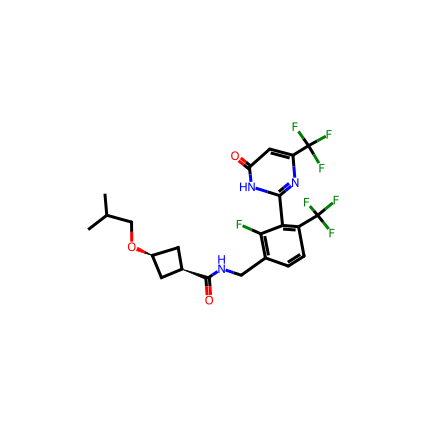 CC(C)CO[C@H]1C[C@@H](C(=O)NCc2ccc(C(F)(F)F)c(-c3nc(C(F)(F)F)cc(=O)[nH]3)c2F)C1